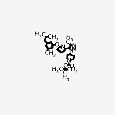 Cc1cc(CC(C)C)cc(Oc2cccc(-c3c(C)nnn3C3CCN(C(=O)OC(C)(C)C)CC3)n2)c1